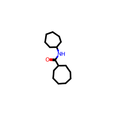 O=C(NC1CCCCCC1)C1CCCCCCC1